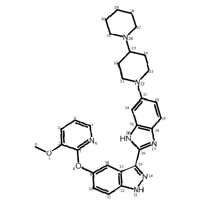 COc1cccnc1Oc1ccc2[nH]nc(-c3nc4ccc(N5CCC(N6CCCCC6)CC5)cc4[nH]3)c2c1